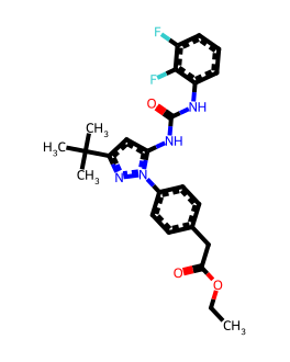 CCOC(=O)Cc1ccc(-n2nc(C(C)(C)C)cc2NC(=O)Nc2cccc(F)c2F)cc1